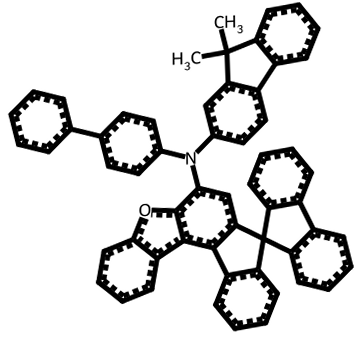 CC1(C)c2ccccc2-c2ccc(N(c3ccc(-c4ccccc4)cc3)c3cc4c(c5c3oc3ccccc35)-c3ccccc3C43c4ccccc4-c4ccccc43)cc21